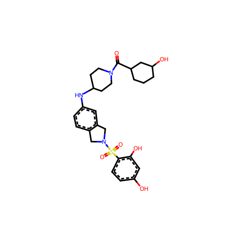 O=C(C1CCCC(O)C1)N1CCC(Nc2ccc3c(c2)CN(S(=O)(=O)c2ccc(O)cc2O)C3)CC1